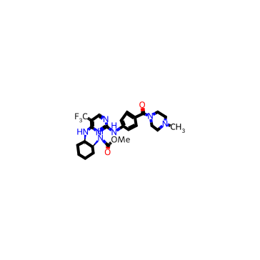 COC(=O)N[C@H]1CCCC[C@H]1Nc1nc(Nc2ccc(C(=O)N3CCN(C)CC3)cc2)ncc1C(F)(F)F